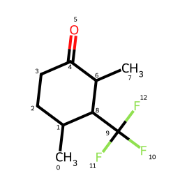 CC1CCC(=O)C(C)C1C(F)(F)F